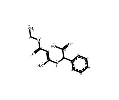 CCOC(=O)C=C(C)NC(C(=O)O)c1ccccc1